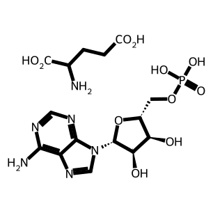 NC(CCC(=O)O)C(=O)O.Nc1ncnc2c1ncn2[C@@H]1O[C@H](COP(=O)(O)O)[C@@H](O)[C@H]1O